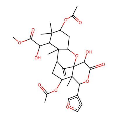 C=C1C2CC(OC(C)=O)C3(C)C(c4ccoc4)OC(=O)C(O)C13OC1CC(OC(C)=O)C(C)(C)C(C(O)C(=O)OC)C12C